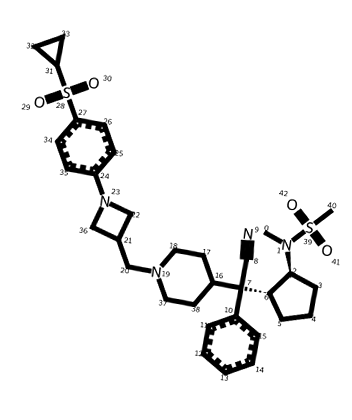 CN([C@H]1CCC[C@@H]1C(C#N)(c1ccccc1)C1CCN(CC2CN(c3ccc(S(=O)(=O)C4CC4)cc3)C2)CC1)S(C)(=O)=O